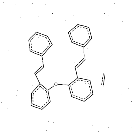 C(=Cc1ccccc1Oc1ccccc1C=Cc1ccccc1)c1ccccc1.C=C